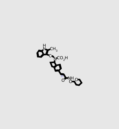 Cc1[nH]c2ccccc2c1CCN(C(=O)O)C1CCc2cc(/C=C/C(=O)NOC3CCCCO3)ccc21